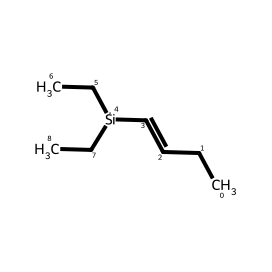 CC/C=C/[Si](CC)CC